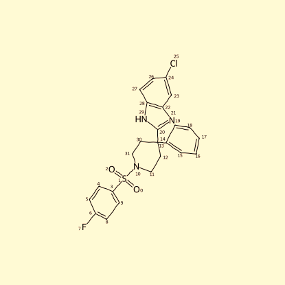 O=S(=O)(c1ccc(F)cc1)N1CCC(c2ccccc2)(c2nc3cc(Cl)ccc3[nH]2)CC1